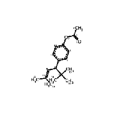 CC(=O)Oc1ccc(C(C=C(C)C)C(C)(C)C)cc1